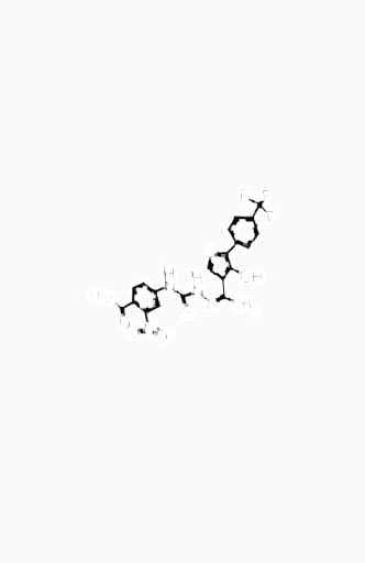 CC(=NNC(=S)Nc1ccc(C(=O)O)c([N+](=O)[O-])c1)c1csc(-c2ccc(C(F)(F)F)cc2)c1O